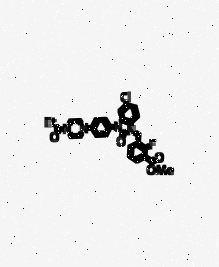 CCC(=O)N1CCN(c2ccc(-n3c(=O)n(Cc4cccc(C(=O)OC)c4F)c4ccc(Cl)cc43)cc2)CC1